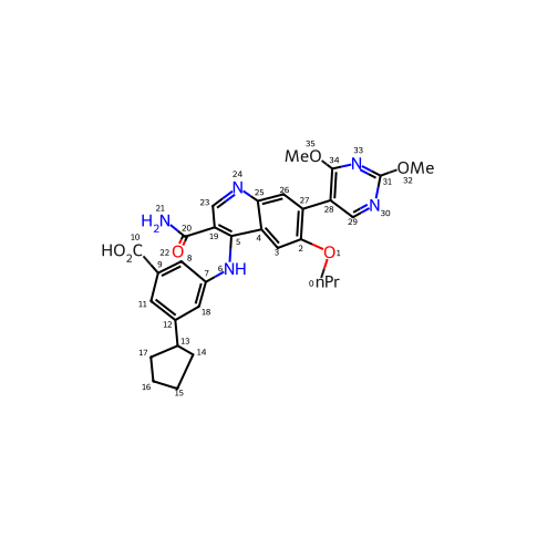 CCCOc1cc2c(Nc3cc(C(=O)O)cc(C4CCCC4)c3)c(C(N)=O)cnc2cc1-c1cnc(OC)nc1OC